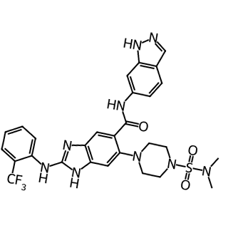 CN(C)S(=O)(=O)N1CCN(c2cc3[nH]c(Nc4ccccc4C(F)(F)F)nc3cc2C(=O)Nc2ccc3cn[nH]c3c2)CC1